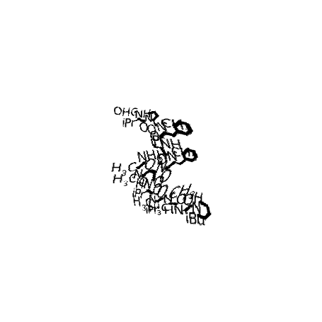 CC[C@H](C)[C@H](NC(=O)[C@H](C)N(C)C(=O)[C@H](CC(C)C)N(C)C(=O)[C@@H](NC(=O)C(CC(=O)N(C)[C@@H](C)C(N)=O)NC(=O)[C@H](Cc1ccccc1)N(C)C(=O)[C@@H](CC(C)C)NC(=O)C(Cc1ccccc1)N(C)C(=O)[C@@H]1CCCN1C(=O)[C@H](NC=O)C(C)C)C(C)C)C(O)N1CCCCC1